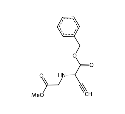 C#CC(NCC(=O)OC)C(=O)OCc1ccccc1